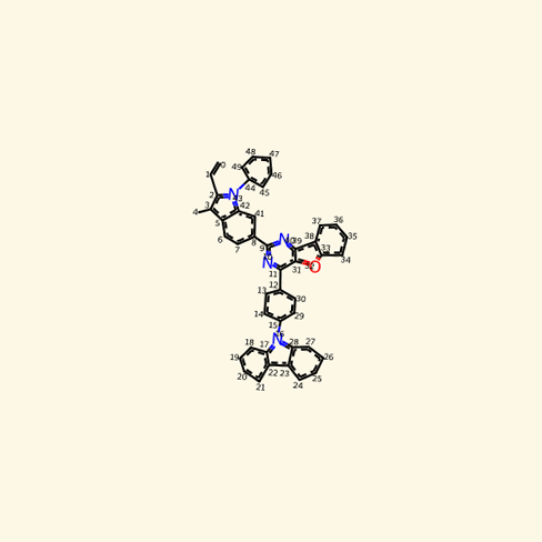 C=Cc1c(C)c2ccc(-c3nc(-c4ccc(-n5c6ccccc6c6ccccc65)cc4)c4oc5ccccc5c4n3)cc2n1-c1ccccc1